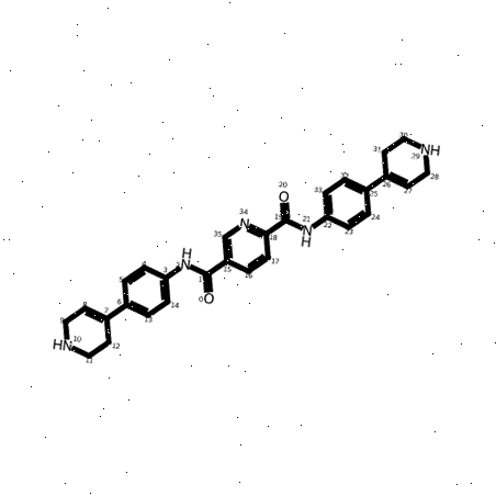 O=C(Nc1ccc(C2=CCNCC2)cc1)c1ccc(C(=O)Nc2ccc(C3=CCNCC3)cc2)nc1